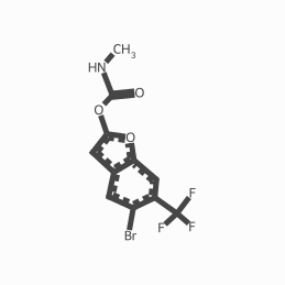 CNC(=O)Oc1cc2cc(Br)c(C(F)(F)F)cc2o1